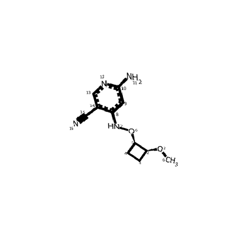 CO[C@H]1CC[C@H]1ONc1cc(N)ncc1C#N